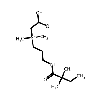 CCC(C)(C)C(=O)NCCC[N+](C)(C)CC(O)O